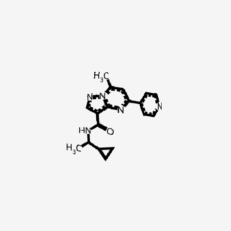 Cc1cc(-c2ccncc2)nc2c(C(=O)NC(C)C3CC3)cnn12